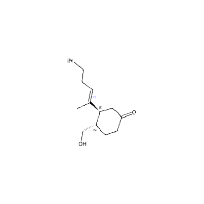 C/C(=C\CCC(C)C)[C@H]1CC(=O)CC[C@@H]1CO